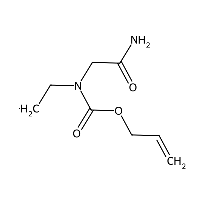 [CH2]CN(CC(N)=O)C(=O)OCC=C